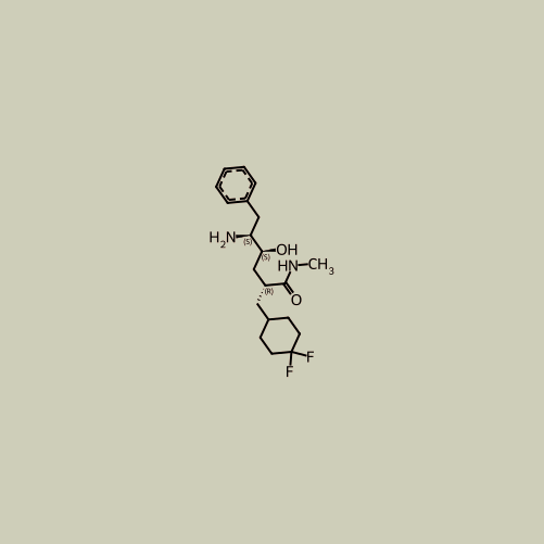 CNC(=O)[C@H](CC1CCC(F)(F)CC1)C[C@H](O)[C@@H](N)Cc1ccccc1